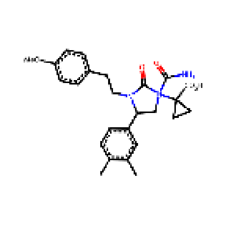 COc1ccc(CCN2C(=O)[N+](C(N)=O)(C3(C(=O)O)CC3)CC2c2ccc(C)c(C)c2)cc1